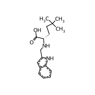 CC(C)(C)CC[C@H](NCc1cc2ccccc2[nH]1)C(=O)O